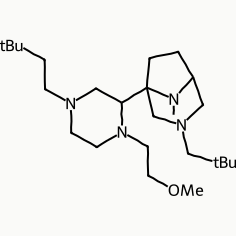 COCCN1CCN(CCC(C)(C)C)CC1C12CCC(CN(CC(C)(C)C)C1)N2C